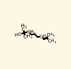 CC(C)=C[SiH2]CCC[SiH2]C(C)(C)O